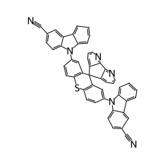 N#Cc1ccc2c(c1)c1ccccc1n2-c1ccc2c(c1)C1(c3cc(-n4c5ccccc5c5cc(C#N)ccc54)ccc3S2)c2cccnc2-c2ncccc21